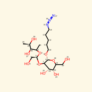 CC(O[C@H](CO)OC1[C@H](OCCCCCN=[N+]=[N-])OC(CO)[C@H](O)[C@@H]1O)[C@@H](O)[C@@H](C)O